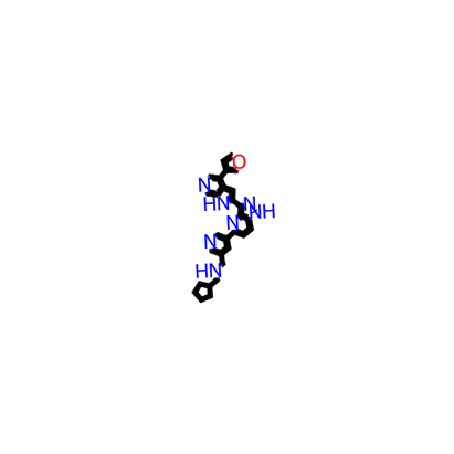 c1cc(-c2cncc3[nH]c(-c4n[nH]c5ccc(-c6cncc(CNCC7CCCC7)c6)nc45)cc23)co1